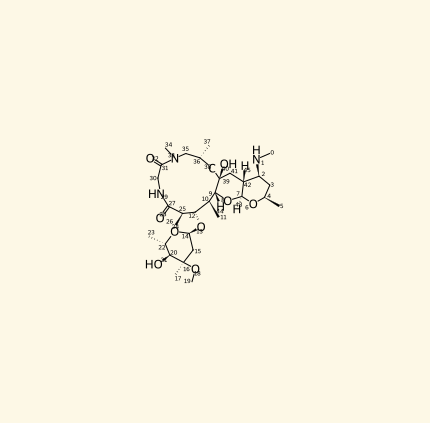 CN[C@H]1C[C@@H](C)O[C@H]2O[C@@H]3[C@@H](C)[C@H](O[C@H]4C[C@@](C)(OC)[C@@H](O)[C@H](C)O4)[C@@H](C)C(=O)NCC(=O)N(C)C[C@H](C)C[C@]3(O)C[C@@H]21